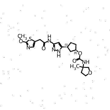 COc1ncc(CC(=O)Nc2cc([C@H]3CC[C@@H](OC(=O)NC4(C)CCOC4)C3)[nH]n2)s1